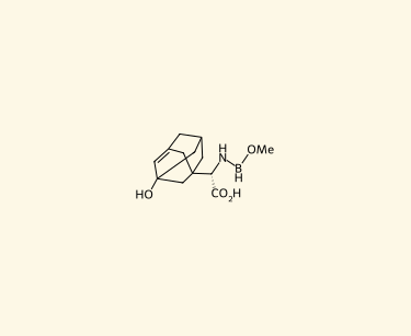 COBN[C@H](C(=O)O)C12CC3=CC(O)(CC(C3)C1)C2